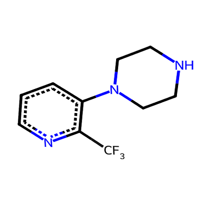 FC(F)(F)c1ncccc1N1CCNCC1